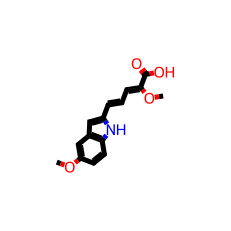 COC(=CC=Cc1cc2cc(OC)ccc2[nH]1)C(=O)O